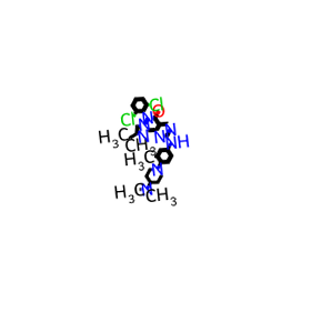 Cc1cc(Nc2ncc3c(=O)n(-c4c(Cl)cccc4Cl)n4cc(C(C)C)nc4c3n2)ccc1N1CCC(N(C)C)CC1